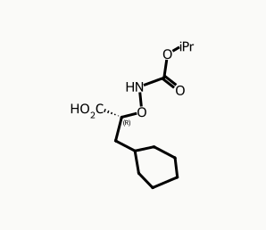 CC(C)OC(=O)NO[C@H](CC1CCCCC1)C(=O)O